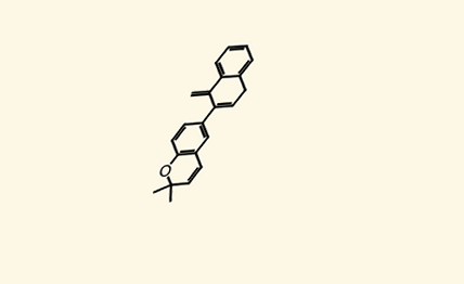 C=C1C(c2ccc3c(c2)C=CC(C)(C)O3)=CCc2ccccc21